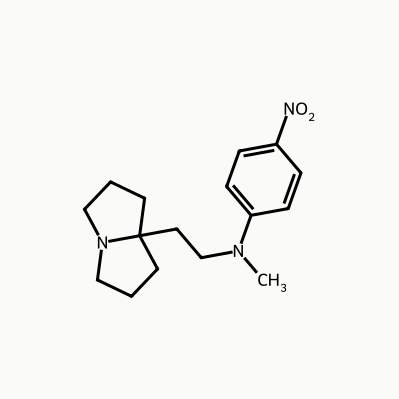 CN(CCC12CCCN1CCC2)c1ccc([N+](=O)[O-])cc1